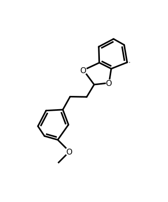 COc1cccc(CCC2Oc3[c]cccc3O2)c1